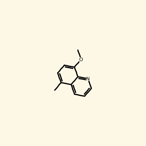 COc1ccc(C)c2cccnc12